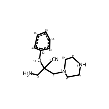 N#CC(CN)(CN1CCNCC1)Oc1ccccc1